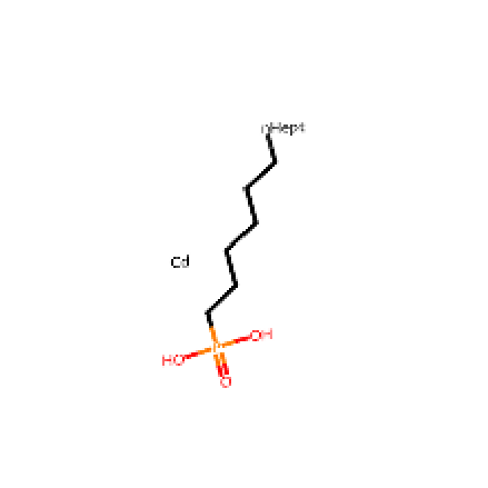 CCCCCCCCCCCCCP(=O)(O)O.[Cd]